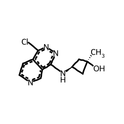 C[C@]1(O)C[C@@H](Nc2nnc(Cl)c3ccncc23)C1